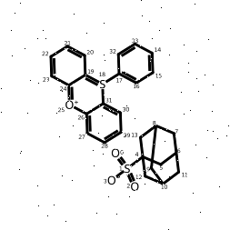 O=S(=O)([O-])C12CC3CC(CC(C3)C1)C2.c1ccc(S2=c3ccccc3=[O+]c3ccccc32)cc1